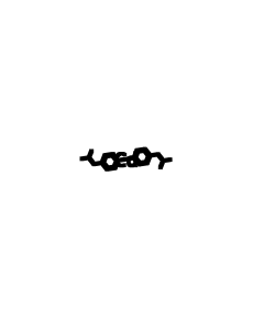 CC(C)Cc1cc[c]([Cd][c]2ccc(CC(C)C)cc2)cc1